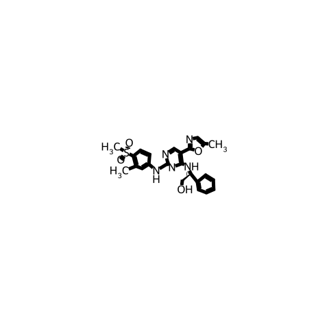 Cc1cnc(-c2cnc(Nc3ccc(S(C)(=O)=O)c(C)c3)nc2N[C@H](CO)c2ccccc2)o1